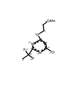 COCCOc1cc(Cl)nc(C(C)(F)F)n1